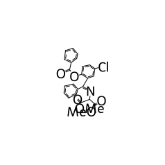 COC(=O)C(N=C(c1ccccc1)c1cc(Cl)ccc1OC(=O)c1ccccc1)C(=O)OC